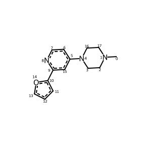 CN1CCN(c2ccnc(-c3ccco3)c2)CC1